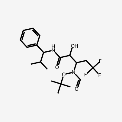 CC(C)C(NC(=O)C(O)C(CC(F)(F)F)N(C=O)OC(C)(C)C)c1ccccc1